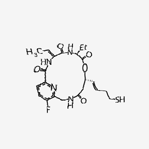 C/C=C1\NC(=O)c2ccc(F)c(n2)CNC(=O)C[C@@H](/C=C/CCS)OC(=O)[C@H](CC)NC1=O